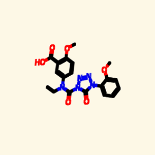 CCN(C(=O)n1nnn(-c2ccccc2OC)c1=O)c1ccc(OC)c(C(=O)O)c1